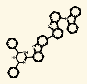 c1ccc(C2N=C(c3cccc4c3sc3ccc(-c5cccc6c5sc5cccc(-n7c8ccccc8c8ccccc87)c56)cc34)NC(c3ccccc3)N2)cc1